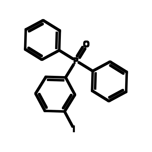 O=P(c1ccccc1)(c1ccccc1)c1cccc(I)c1